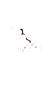 C=CC(=O)NCC[Si](OC)(OC)OC